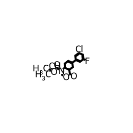 CC(C)(C)OC(=O)N1COC(=O)C2CC(c3cc(F)cc(Cl)c3)=CCC21